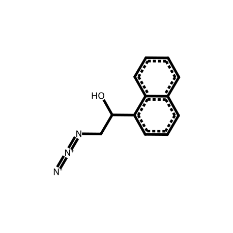 [N-]=[N+]=NCC(O)c1cccc2ccccc12